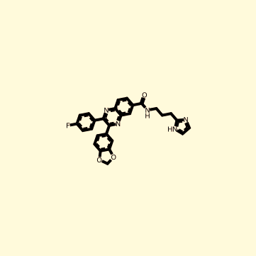 O=C(NCCCc1ncc[nH]1)c1ccc2nc(-c3ccc(F)cc3)c(-c3ccc4c(c3)OCO4)nc2c1